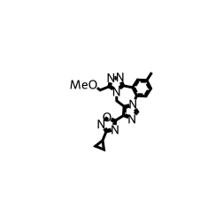 COCc1nnc2n1Cc1c(-c3nc(C4CC4)no3)ncn1-c1ccc(C)cc1-2